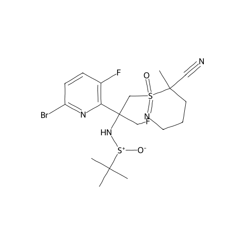 CC(C)(C)[S+]([O-])NC(CF)(CS1(=O)=NCCCC1(C)C#N)c1nc(Br)ccc1F